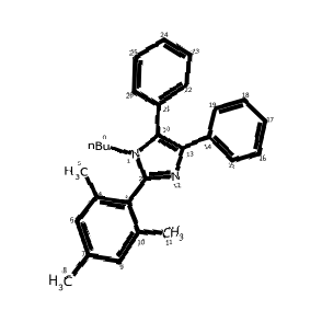 CCCCn1c(-c2c(C)cc(C)cc2C)nc(-c2ccccc2)c1-c1ccccc1